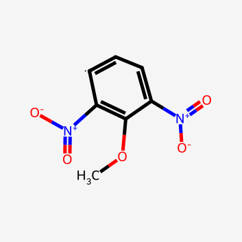 COc1c([N+](=O)[O-])[c]ccc1[N+](=O)[O-]